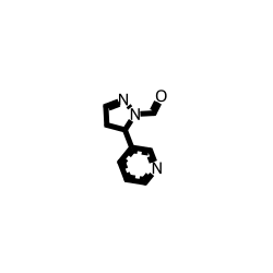 O=CN1N=CCC1c1cccnc1